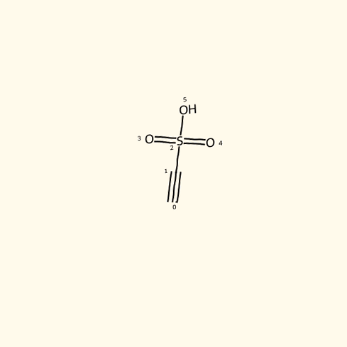 [C]#CS(=O)(=O)O